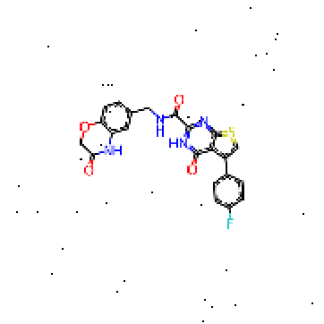 O=C1COc2ccc(CNC(=O)c3nc4scc(-c5ccc(F)cc5)c4c(=O)[nH]3)cc2N1